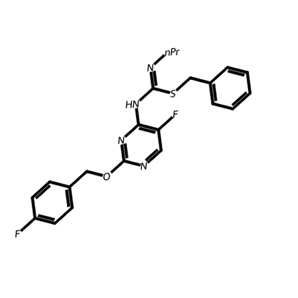 CCC/N=C(/Nc1nc(OCc2ccc(F)cc2)ncc1F)SCc1ccccc1